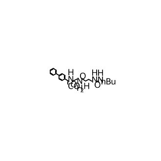 CCCCNC(=O)NCCCC(=O)NCC(=O)NC(CC(=O)O)c1ccc(-c2ccccc2)cc1